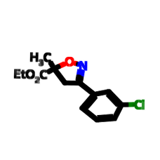 CCOC(=O)C1(C)CC(c2cccc(Cl)c2)=NO1